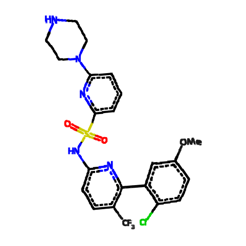 COc1ccc(Cl)c(-c2nc(NS(=O)(=O)c3cccc(N4CCNCC4)n3)ccc2C(F)(F)F)c1